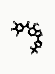 CC1c2nnc(-c3csc(C(F)(F)F)n3)n2CCN1C(=O)c1cc(F)c(F)c(F)c1